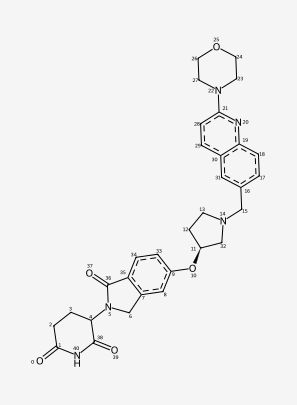 O=C1CCC(N2Cc3cc(O[C@H]4CCN(Cc5ccc6nc(N7CCOCC7)ccc6c5)C4)ccc3C2=O)C(=O)N1